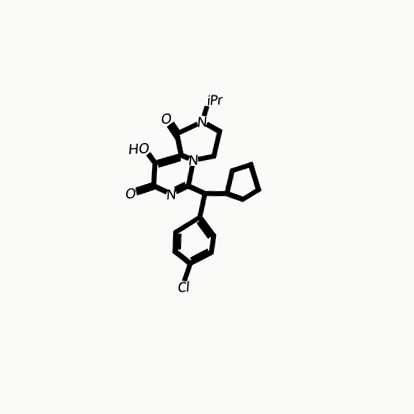 CC(C)N1CCn2c(C(c3ccc(Cl)cc3)C3CCCC3)nc(=O)c(O)c2C1=O